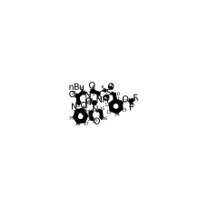 CCCC[C@H](NC(=O)[C@H](CS(=O)(=O)Cc1ccccc1OC(F)F)NC(=O)N1CCOCC1)C(=O)c1nc2ccccc2o1